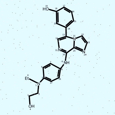 CCN(CCO)c1ccc(Nc2ncc(-c3cccc(O)c3)n3ccnc23)cc1